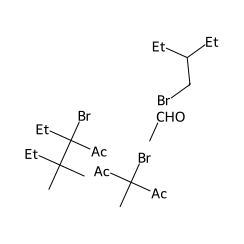 CC(=O)C(C)(Br)C(C)=O.CC=O.CCC(C)(C)C(Br)(CC)C(C)=O.CCC(CC)CBr